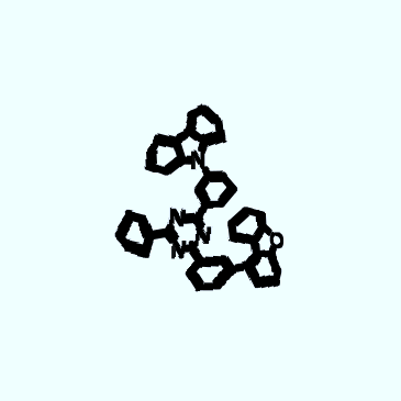 c1ccc(-c2nc(-c3cccc(-c4cccc5oc6ccccc6c45)c3)nc(-c3cccc(-n4c5ccccc5c5ccccc54)c3)n2)cc1